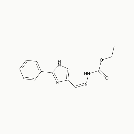 CCOC(=O)N/N=C\c1c[nH]c(-c2ccccc2)n1